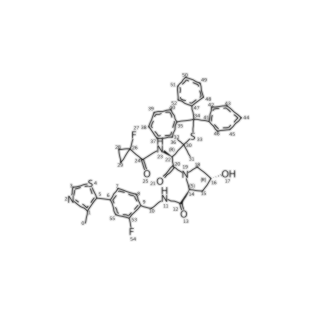 Cc1ncsc1-c1ccc(CNC(=O)[C@@H]2C[C@@H](O)CN2C(=O)[C@@H](NC(=O)C2(F)CC2)C(C)(C)SC(c2ccccc2)(c2ccccc2)c2ccccc2)c(F)c1